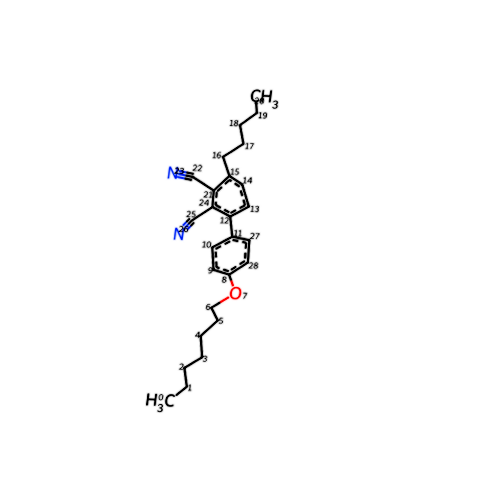 CCCCCCCOc1ccc(-c2ccc(CCCCC)c(C#N)c2C#N)cc1